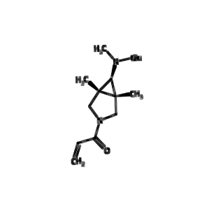 C=CC(=O)N1C[C@@]2(C)[C@H](N(C)C(C)(C)C)[C@@]2(C)C1